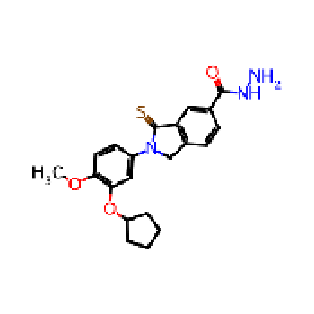 COc1ccc(N2Cc3ccc(C(=O)NN)cc3C2=S)cc1OC1CCCC1